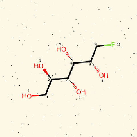 OC[C@@H](O)[C@@H](O)[C@H](O)[C@@H](O)CF